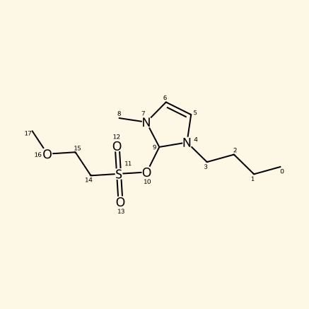 CCCCN1C=CN(C)C1OS(=O)(=O)CCOC